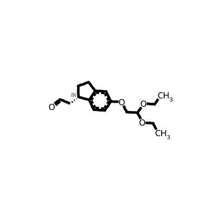 CCOC(COc1ccc2c(c1)CC[C@H]2CC=O)OCC